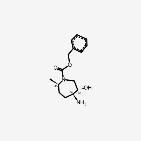 C[C@@H]1CC[C@H](N)[C@@H](O)CN1C(=O)OCc1ccccc1